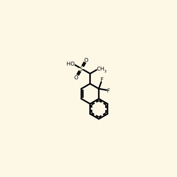 CC(C1C=Cc2ccccc2C1(F)F)S(=O)(=O)O